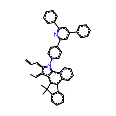 C=C/C=c1\c(=C/C)c2c3c(c4ccccc4c2n1-c1ccc(-c2cc(-c4ccccc4)cc(-c4ccccc4)n2)cc1)-c1ccccc1C3(C)C